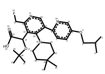 CC(C)COc1ccc(-c2cnc(CF)c(C(OC(C)(C)C)C(=O)O)c2N2CCC(C)(C)CC2)nc1